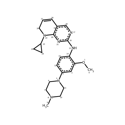 COc1cc(N2CCN(C)CC2)ccc1Nc1ncc2c(n1)N(C1CC1)CC=C2